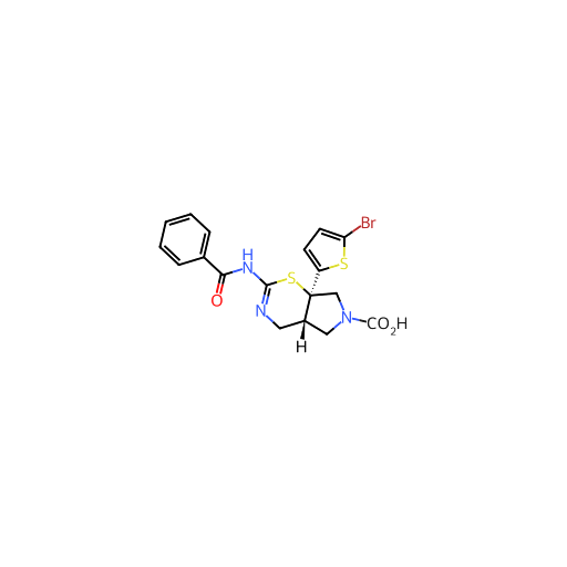 O=C(NC1=NC[C@H]2CN(C(=O)O)C[C@]2(c2ccc(Br)s2)S1)c1ccccc1